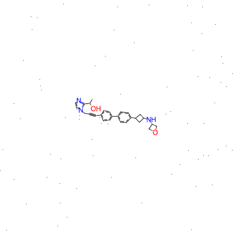 CC(O)c1nccn1CC#Cc1ccc(-c2ccc(C3CC(NC4COC4)C3)cc2)cc1